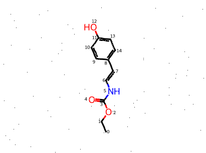 CCOC(=O)N/C=C/c1ccc(O)cc1